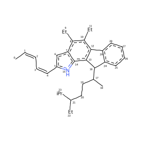 C/C=C\C=C/c1cc2c(CC)c(CC)c3c(c2[nH]1)C(C(C)CCC(CC)C(C)C)c1ccccc1-3